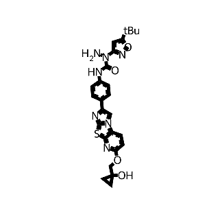 CC(C)(C)c1cc(N(N)C(=O)Nc2ccc(-c3cn4c(n3)sc3nc(OCC5(O)CC5)ccc34)cc2)no1